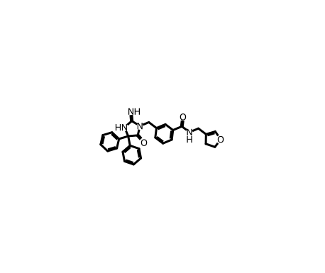 N=C1NC(c2ccccc2)(c2ccccc2)C(=O)N1Cc1cccc(C(=O)NCC2=COCC2)c1